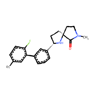 CCc1ccc(F)c(-c2cccc([C@@H]3CC[C@@]4(CCN(C)C4=O)N3)c2)c1